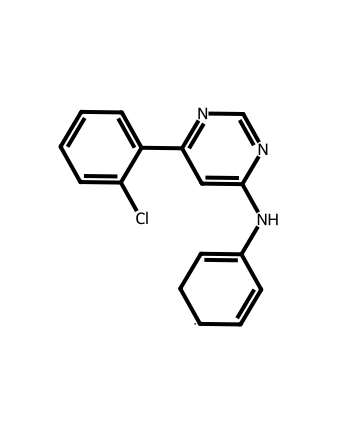 Clc1ccccc1-c1cc(NC2=CC[CH]C=C2)ncn1